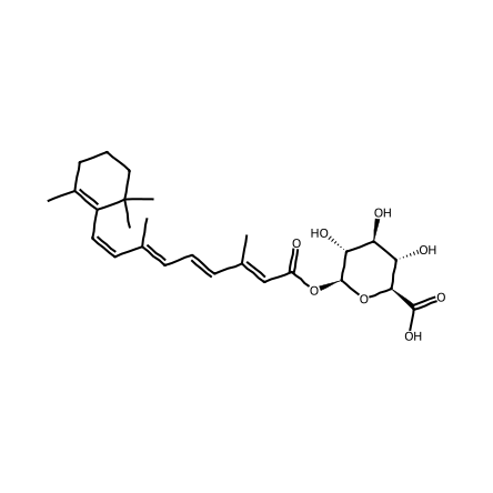 CC1=C(\C=C/C(C)=C/C=C/C(C)=C/C(=O)O[C@@H]2O[C@H](C(=O)O)[C@@H](O)[C@H](O)[C@H]2O)C(C)(C)CCC1